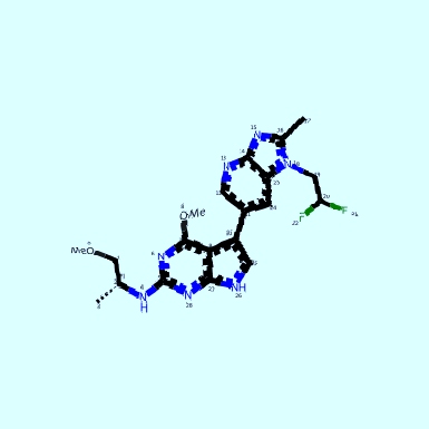 COC[C@@H](C)Nc1nc(OC)c2c(-c3cnc4nc(C)n(CC(F)F)c4c3)c[nH]c2n1